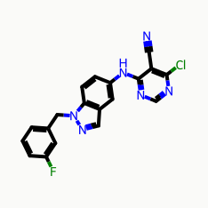 N#Cc1c(Cl)ncnc1Nc1ccc2c(cnn2Cc2cccc(F)c2)c1